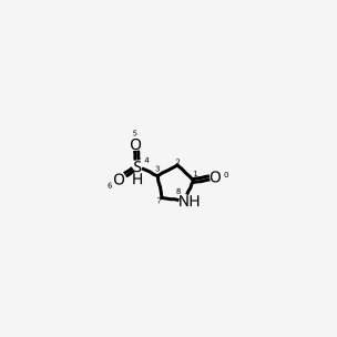 O=C1CC([SH](=O)=O)CN1